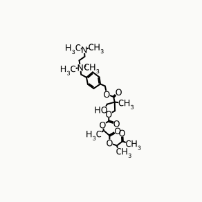 CC(=O)C(C)OC(=O)C(C)OC(=O)OCC(C)(CO)C(=O)OCc1ccc(C[N+](C)(C)CCN(C)C)cc1